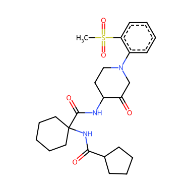 CS(=O)(=O)c1ccccc1N1CCC(NC(=O)C2(NC(=O)C3CCCC3)CCCCC2)C(=O)C1